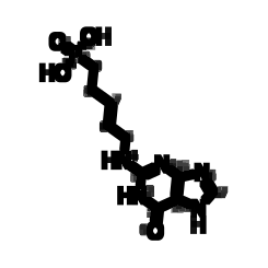 O=c1[nH]c(NCC=CCCP(=O)(O)O)nc2nc[nH]c12